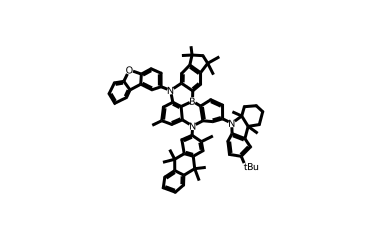 Cc1cc2c3c(c1)N(c1cc4c(cc1C)C(C)(C)c1ccccc1C4(C)C)c1cc(N4c5ccc(C(C)(C)C)cc5C5(C)CCCCC45C)ccc1B3c1cc3c(cc1N2c1ccc2oc4ccccc4c2c1)C(C)(C)CC3(C)C